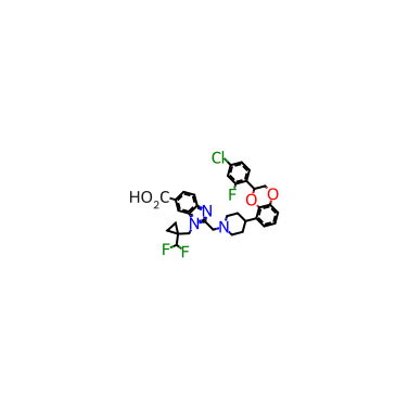 O=C(O)c1ccc2nc(CN3CCC(c4cccc5c4OC(c4ccc(Cl)cc4F)CO5)CC3)n(CC3(C(F)F)CC3)c2c1